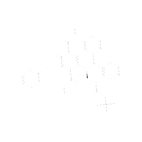 COC(=O)c1cn([C@H](CNC(=O)OC(C)(C)C)C(c2ccccc2)c2ccccc2)c(C(=O)OC)c(OCc2ccccc2)c1=O